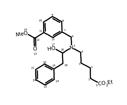 CCOC(=O)CCCCN(Cc1cccc(C(=O)OC)c1)C(O)Cc1ccccc1